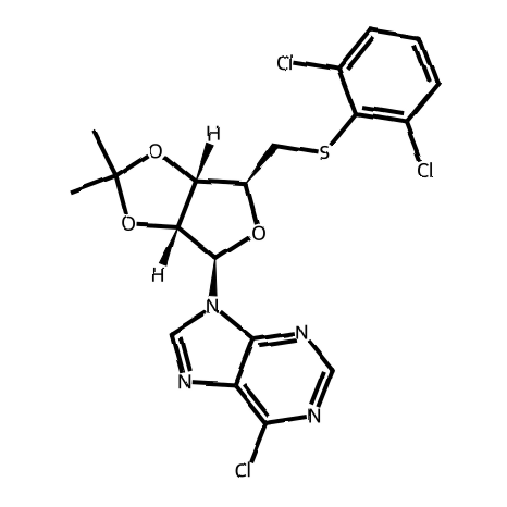 CC1(C)O[C@@H]2[C@H](O1)[C@@H](CSc1c(Cl)cccc1Cl)O[C@H]2n1cnc2c(Cl)ncnc21